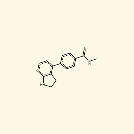 CNC(=O)c1ccc(-c2ccnc3c2CCN3)cc1